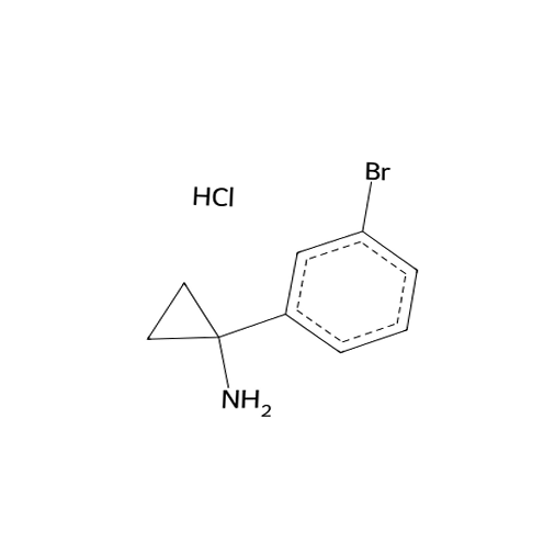 Cl.NC1(c2cccc(Br)c2)CC1